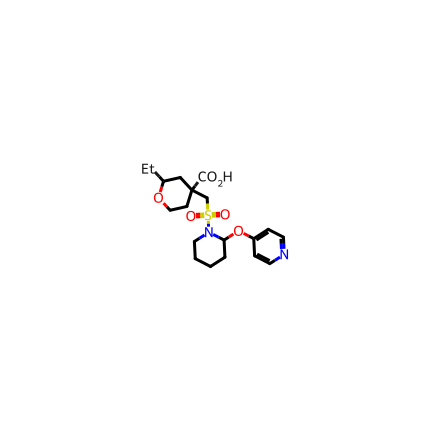 CCC1CC(CS(=O)(=O)N2CCCCC2Oc2ccncc2)(C(=O)O)CCO1